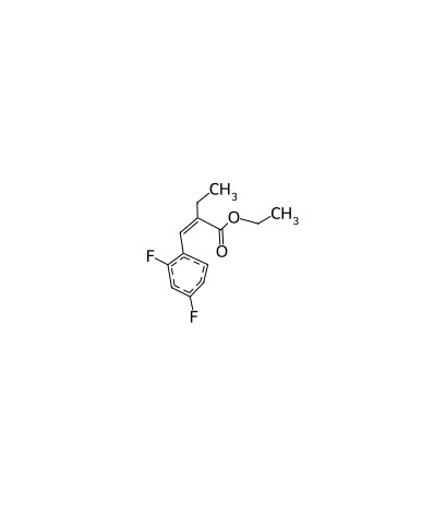 CCOC(=O)C(=Cc1ccc(F)cc1F)CC